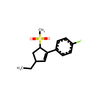 CCC1C=C(c2ccc(F)cc2)C(S(C)(=O)=O)C1